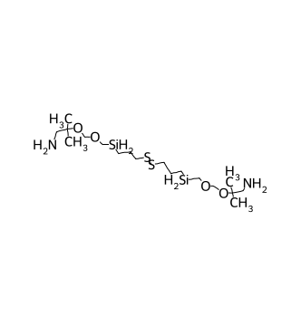 CC(C)(CN)OCOC[SiH2]CCCSSCCC[SiH2]COCOC(C)(C)CN